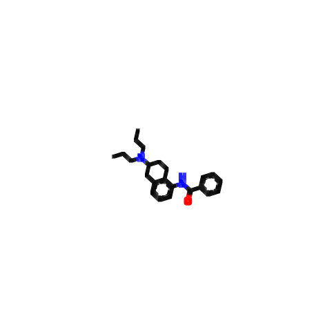 CCCN(CCC)C1CCc2c(cccc2NC(=O)c2ccccc2)C1